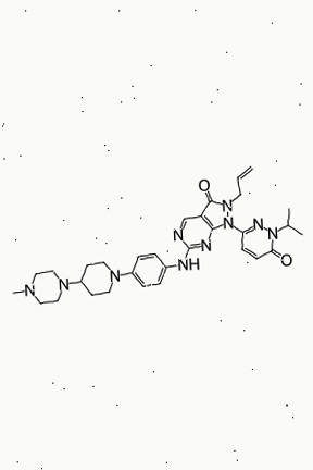 C=CCn1c(=O)c2cnc(Nc3ccc(N4CCC(N5CCN(C)CC5)CC4)cc3)nc2n1-c1ccc(=O)n(C(C)C)n1